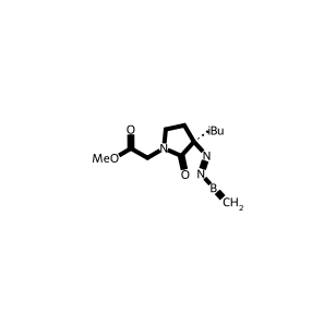 C=BN=N[C@]1(C(C)CC)CCN(CC(=O)OC)C1=O